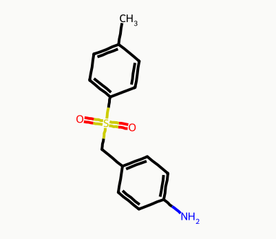 Cc1ccc(S(=O)(=O)Cc2ccc(N)cc2)cc1